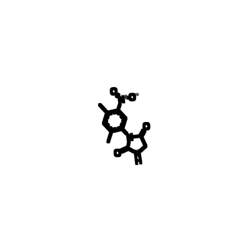 Cc1cc(C)c([N+](=O)[O-])cc1N1C(=O)CNC1=O